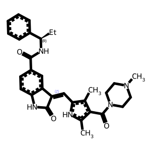 CC[C@@H](NC(=O)c1ccc2c(c1)/C(=C/c1[nH]c(C)c(C(=O)N3CCN(C)CC3)c1C)C(=O)N2)c1ccccc1